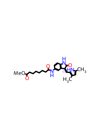 COC(=O)CCCCCCC(=O)Nc1ccc2c(c1)/C(=C/c1[nH]c(C)cc1C)C(=O)N2